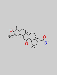 CC1C(=O)C(C#N)=CC2(C)C3=CC(=O)C4C5CC(C)(C)CCC5(CCC(=O)N(C)C)CCCC4C3(C)CCC12